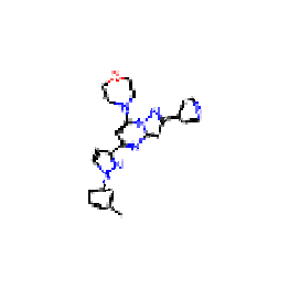 Cc1cccc(-n2ccc(-c3cc(N4CCOCC4)n4nc(-c5ccncc5)cc4n3)n2)c1